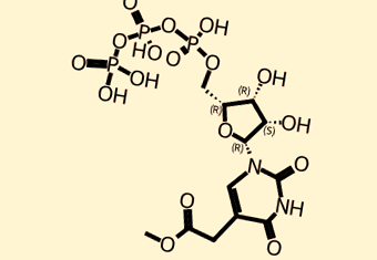 COC(=O)Cc1cn([C@@H]2O[C@H](COP(=O)(O)OP(=O)(O)OP(=O)(O)O)[C@H](O)[C@@H]2O)c(=O)[nH]c1=O